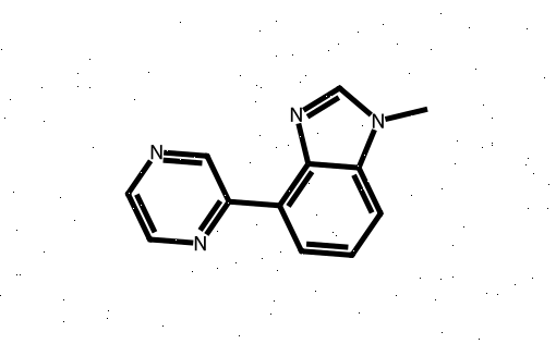 Cn1cnc2c(-c3cnccn3)cccc21